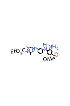 CCOC(=O)CN1C(C)CN(Cc2cccc(Nc3ccc(C(=O)OC)cc3N)c2)CC1C